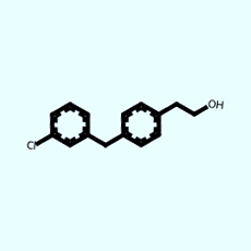 OCCc1ccc([CH]c2cccc(Cl)c2)cc1